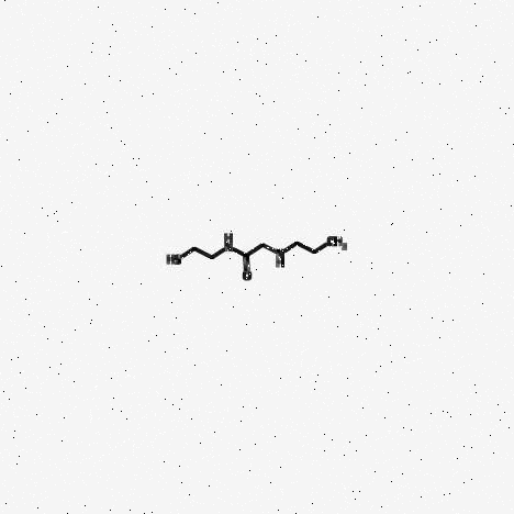 CCCNCC(=O)NCCS